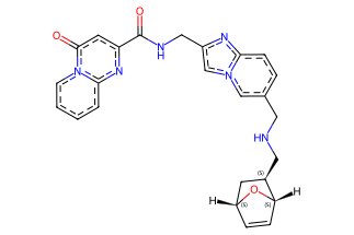 O=C(NCc1cn2cc(CNC[C@@H]3C[C@H]4C=C[C@@H]3O4)ccc2n1)c1cc(=O)n2ccccc2n1